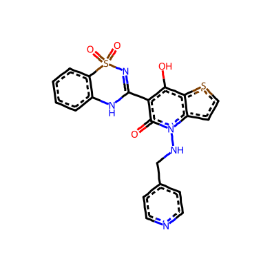 O=c1c(C2=NS(=O)(=O)c3ccccc3N2)c(O)c2sccc2n1NCc1ccncc1